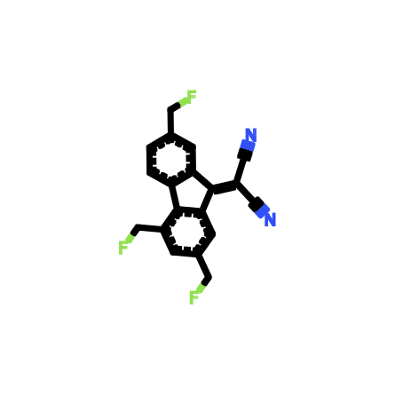 N#CC(C#N)=C1c2cc(CF)ccc2-c2c(CF)cc(CF)cc21